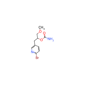 COCC(Cc1ccc(Br)nc1)OC(N)=O